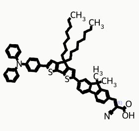 CCCCCCCCC1(CCCCCCCC)c2cc(-c3ccc(N(c4ccccc4)c4ccccc4)cc3)sc2-c2sc(-c3ccc4c(c3)C(C)(C)c3cc(/C=C(\C#N)C(=O)O)ccc3-4)cc21